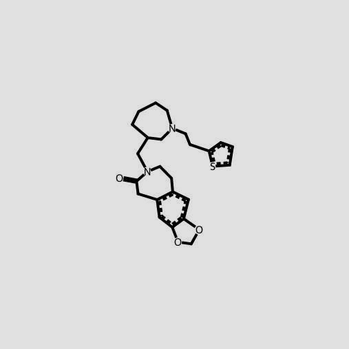 O=C1Cc2cc3c(cc2CCN1CC1CCCCN(CCc2cccs2)C1)OCO3